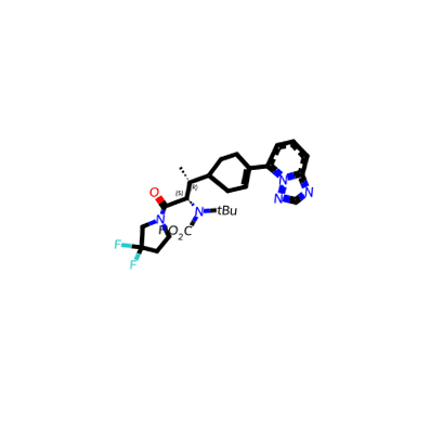 C[C@H](C1CC=C(c2cccc3ncnn23)CC1)[C@@H](C(=O)N1CCC(F)(F)C1)N(C(=O)O)C(C)(C)C